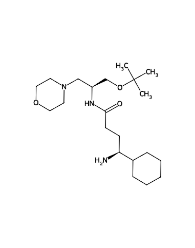 CC(C)(C)OC[C@H](CN1CCOCC1)NC(=O)CC[C@H](N)C1CCCCC1